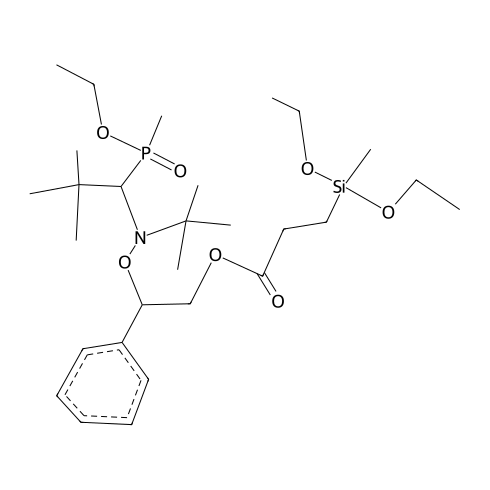 CCO[Si](C)(CCC(=O)OCC(ON(C(C(C)(C)C)P(C)(=O)OCC)C(C)(C)C)c1ccccc1)OCC